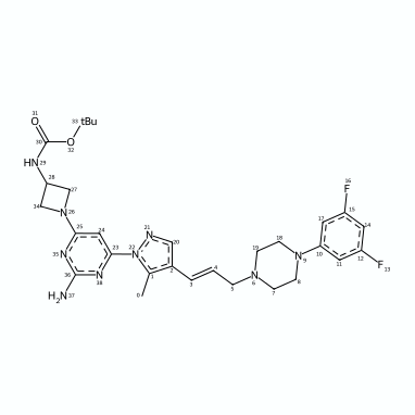 Cc1c(C=CCN2CCN(c3cc(F)cc(F)c3)CC2)cnn1-c1cc(N2CC(NC(=O)OC(C)(C)C)C2)nc(N)n1